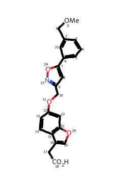 COCc1cccc(-c2cc(COc3ccc4c(CC(=O)O)coc4c3)no2)c1